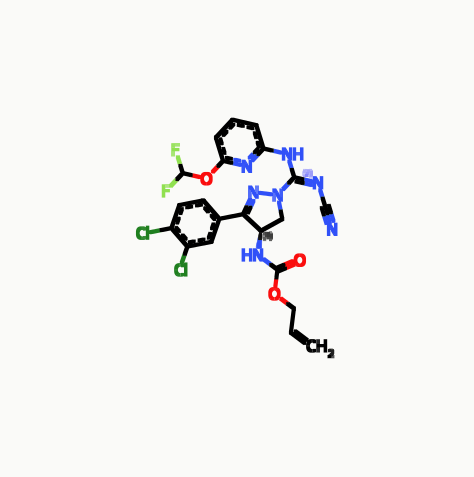 C=CCOC(=O)N[C@@H]1CN(/C(=N\C#N)Nc2cccc(OC(F)F)n2)N=C1c1ccc(Cl)c(Cl)c1